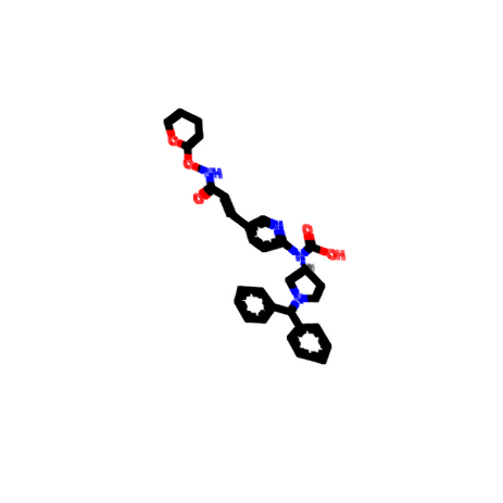 O=C(C=Cc1ccc(N(C(=O)O)[C@@H]2CCN(C(c3ccccc3)c3ccccc3)C2)nc1)NOC1CCCCO1